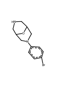 Brc1ccc(N2CC3CNCC(C2)O3)cc1